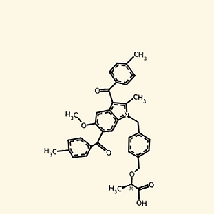 COc1cc2c(C(=O)c3ccc(C)cc3)c(C)n(Cc3ccc(CO[C@H](C)C(=O)O)cc3)c2cc1C(=O)c1ccc(C)cc1